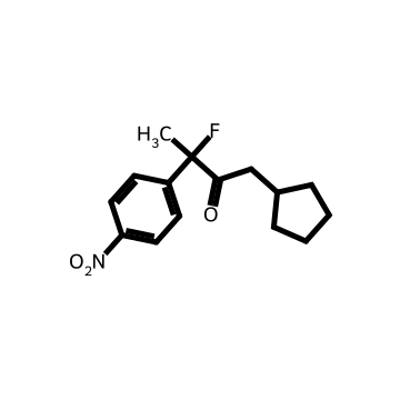 CC(F)(C(=O)CC1CCCC1)c1ccc([N+](=O)[O-])cc1